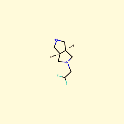 FC(F)CN1C[C@H]2CNC[C@H]2C1